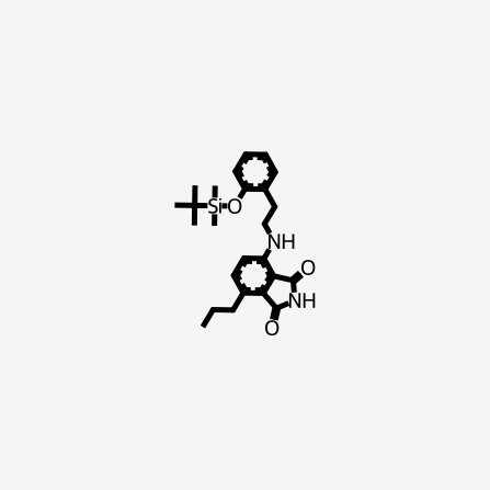 CCCc1ccc(NCCc2ccccc2O[Si](C)(C)C(C)(C)C)c2c1C(=O)NC2=O